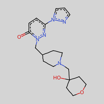 O=c1ccc(-n2cccn2)nn1CC1CCN(CC2(O)CCOCC2)CC1